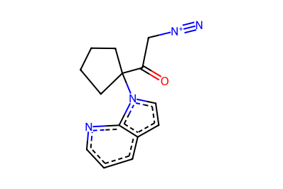 N#[N+]CC(=O)C1(n2ccc3cccnc32)CCCC1